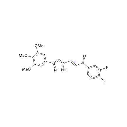 COc1cc(-c2cc(/C=C/C(=O)c3ccc(F)c(F)c3)[nH]n2)cc(OC)c1OC